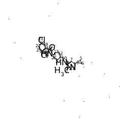 Cn1nc(C2CC2)cc1NCC1CCC(NC(=O)c2cc(Cl)ccc2Cl)CC1